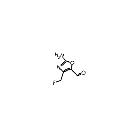 Nc1nc(CF)c(C=O)o1